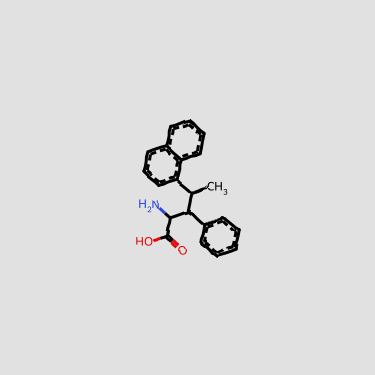 CC(c1cccc2ccccc12)C(c1ccccc1)C(N)C(=O)O